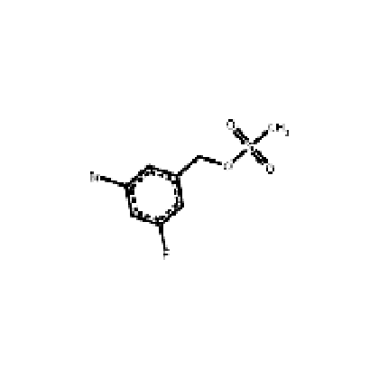 CS(=O)(=O)OCc1cc(F)cc(Br)c1